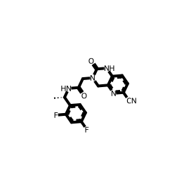 C[C@H](NC(=O)CN1Cc2nc(C#N)ccc2NC1=O)c1ccc(F)cc1F